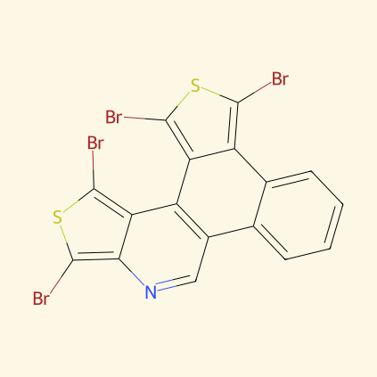 Brc1sc(Br)c2c1ncc1c3ccccc3c3c(Br)sc(Br)c3c12